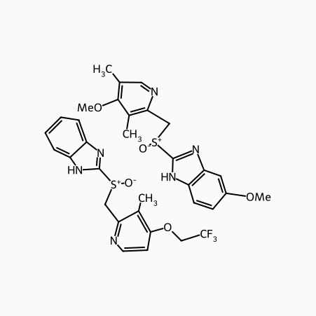 COc1ccc2[nH]c([S+]([O-])Cc3ncc(C)c(OC)c3C)nc2c1.Cc1c(OCC(F)(F)F)ccnc1C[S+]([O-])c1nc2ccccc2[nH]1